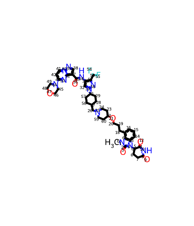 Cn1c(=O)n([C@@H]2CCC(=O)NC2=O)c2cccc(CCCOC3CCN(CC4CCC(n5cc(NC(=O)c6cnn7ccc(N8CCOCC8)nc67)c(C(F)F)n5)CC4)CC3)c21